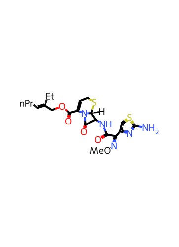 CCC/C=C(\CC)COC(=O)C1=CCS[C@@H]2C(NC(=O)/C(=N\OC)c3csc(N)n3)C(=O)N12